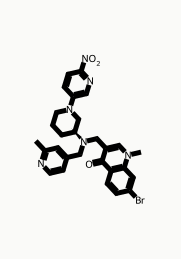 Cc1cc(CN(Cc2cn(C)c3cc(Br)ccc3c2=O)[C@H]2CCCN(c3ccc([N+](=O)[O-])nc3)C2)ccn1